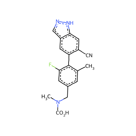 Cc1cc(CN(C)C(=O)O)cc(F)c1-c1cc2cn[nH]c2cc1C#N